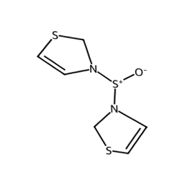 [O-][S+](N1C=CSC1)N1C=CSC1